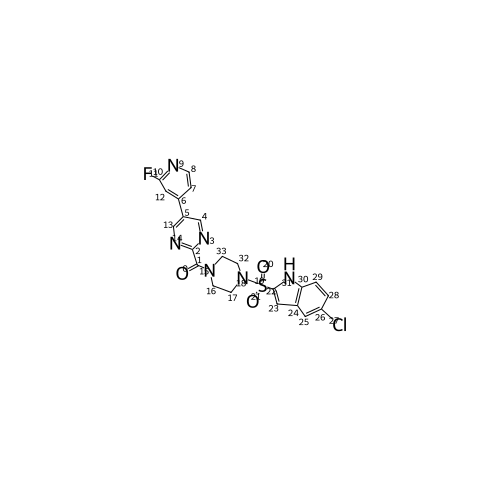 O=C(c1ncc(-c2ccnc(F)c2)cn1)N1CCN(S(=O)(=O)c2cc3cc(Cl)ccc3[nH]2)CC1